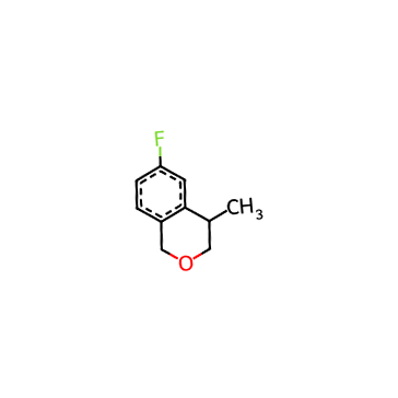 CC1COCc2ccc(F)cc21